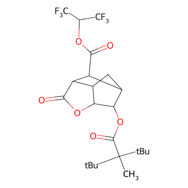 CC(C)(C)C(C)(C(=O)OC1C2CC3C1OC(=O)C3C2C(=O)OC(C(F)(F)F)C(F)(F)F)C(C)(C)C